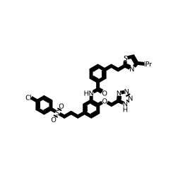 CC(C)c1csc(CCc2cccc(C(=O)Nc3cc(CCCS(=O)(=O)c4ccc(Cl)cc4)ccc3OCc3nnn[nH]3)c2)n1